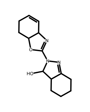 OC1C2CCCCC2=NN1C1=NC2C=CCCC2O1